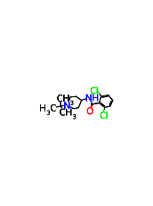 CC(C)(C)N1CCC(NC(=O)c2c(Cl)cccc2Cl)CC1